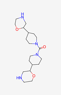 O=C(N1CCC(C2CNCCO2)CC1)N1CCC(C2CNCCO2)CC1